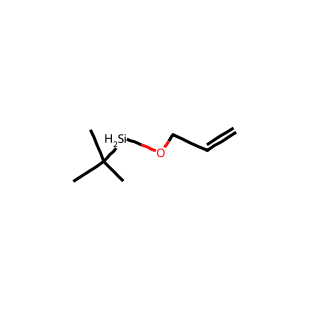 C=CCO[SiH2]C(C)(C)C